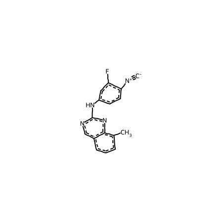 [C-]#[N+]c1ccc(Nc2ncc3cccc(C)c3n2)cc1F